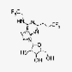 OC[C@H]1O[C@@H](n2cnc3c(NCC(F)(F)F)nc(CCC(F)(F)F)nc32)[C@H](S)[C@@H]1O